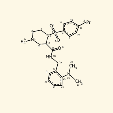 CC(=O)N1CCN(S(=O)(=O)c2ccc(C(C)C)cc2)C(C(=O)NCc2ccccc2N(C)C)C1